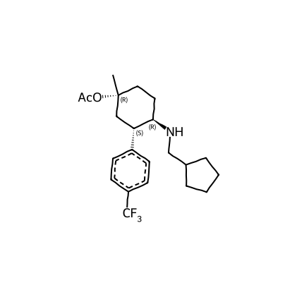 CC(=O)O[C@]1(C)CC[C@@H](NCC2CCCC2)[C@H](c2ccc(C(F)(F)F)cc2)C1